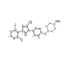 CC(C)(C)C1CCC(Oc2ncc(-c3[nH]c(-c4c(F)cccc4Cl)nc3C#N)cn2)CC1